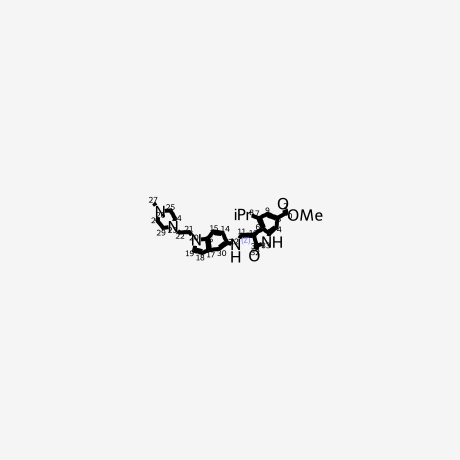 COC(=O)c1cc2c(c(C(C)C)c1)/C(=C/Nc1ccc3c(ccn3CCN3CCN(C)CC3)c1)C(=O)N2